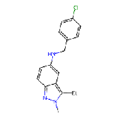 CCc1c2cc(NCc3ccc(Cl)cc3)ccc2nn1C